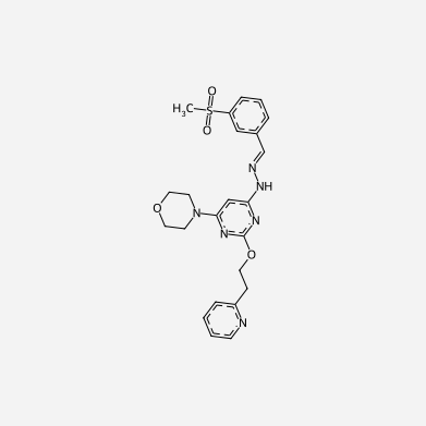 CS(=O)(=O)c1cccc(C=NNc2cc(N3CCOCC3)nc(OCCc3ccccn3)n2)c1